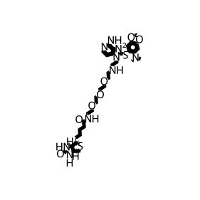 CN(C)c1cc2c(cc1Sc1nc3c(N)nccc3n1CCNCCOCCOCCOCCNC(=O)CCCC[C@@H]1SC[C@@H]3NC(=O)N[C@@H]31)OCO2